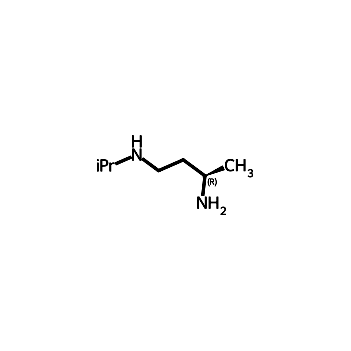 CC(C)NCC[C@@H](C)N